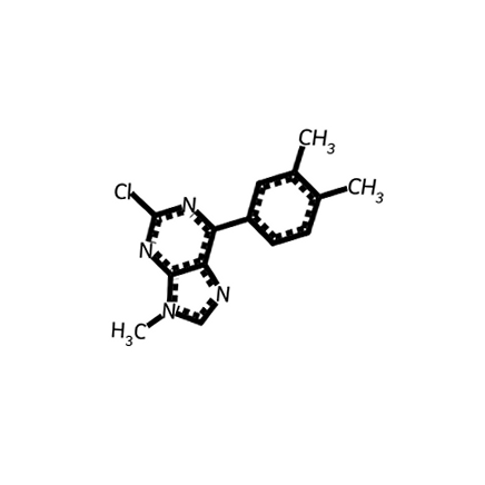 Cc1ccc(-c2nc(Cl)nc3c2ncn3C)cc1C